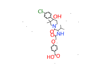 CC(C)[C@@H](NC(=O)COc1ccc(C(=O)O)cc1)C(=O)N1CC[C@](O)(c2ccc(Cl)cc2)C(C)(C)C1